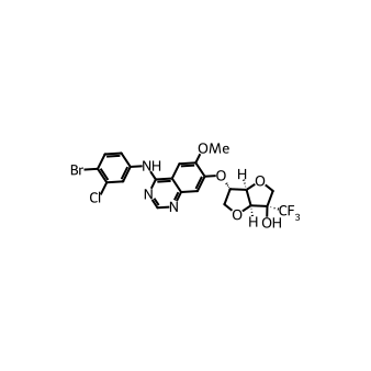 COc1cc2c(Nc3ccc(Br)c(Cl)c3)ncnc2cc1O[C@H]1CO[C@H]2[C@@H]1OC[C@]2(O)C(F)(F)F